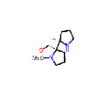 CON1CCC[C@]1(C[O])[C@@]1(C)CCCN1